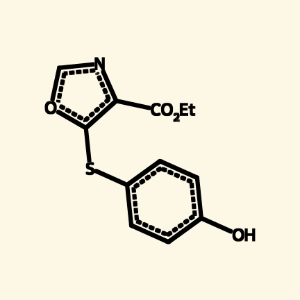 CCOC(=O)c1ncoc1Sc1ccc(O)cc1